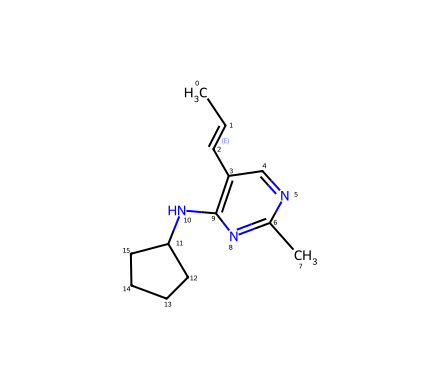 C/C=C/c1cnc(C)nc1NC1CCCC1